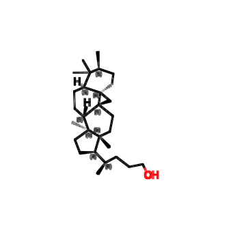 C[C@H](CCCO)[C@H]1CC[C@@]2(C)[C@@H]3CC[C@H]4C(C)(C)[C@@H](C)CC[C@@]45C[C@@]35CC[C@]12C